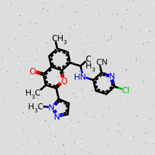 Cc1cc(C(C)Nc2ccc(Cl)nc2C#N)c2oc(-c3ccnn3C)c(C)c(=O)c2c1